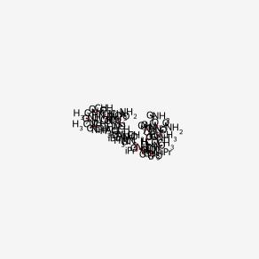 CC[C@H](C)[C@H](NC(=O)C(C)(C)NC(=O)[C@H](CCC(N)=O)NC(=O)C(C)(C)NC(=O)C(C)(C)NC(=O)[C@H](C)NC(=O)[C@H](C)NC(=O)[C@H](C)NC(=O)C(C)(C)NC(C)=O)C(=O)NC(C)(C)C(=O)NCC(=O)N[C@@H](CC(C)C)C(=O)NC(C)(C)C(=O)N1CCC[C@H]1C(=O)N[C@H](C(=O)NC(C)(C)C(=O)N[C@@](C)(CC)C(=O)N[C@@H](CCC(N)=O)C(=O)N[C@@H](CCC(N)=O)C(=O)N[C@H](CO)Cc1ccccc1)C(C)C